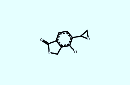 O=C1OCc2c1ccc(C1CO1)c2Cl